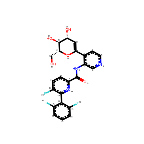 O=C(Nc1cnccc1C1=C[C@@H](O)[C@H](O)[C@@H](CO)O1)c1ccc(F)c(-c2c(F)cccc2F)n1